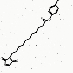 O=C(CCCCCCCCCCN1C(=O)C=CC1=O)Oc1ccc(CO)cc1